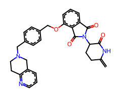 C=C1CCC(N2C(=O)c3cccc(OCc4ccc(CN5CCc6ncccc6C5)cc4)c3C2=O)C(=O)N1